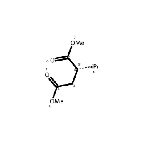 COC(=O)C[C@H](C(=O)OC)C(C)C